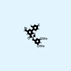 COc1cc(Cn2cnc3c(-c4ccc(F)cc4C)cc(CBr)cc3c2=O)cc(OC)c1